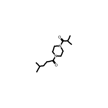 CC(C)CCC(=O)N1CCN(C(=O)C(C)C)CC1